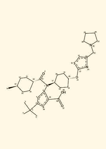 CC(C)(C)c1cc(N(C(=O)[C@H]2CC[C@H](C)CC2)[C@H]2CC[C@H](Oc3nc(CN4CCCC4)cs3)CC2)c(C(=O)O)s1